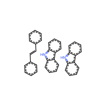 C(=Cc1ccccc1)c1ccccc1.c1ccc2c(c1)[nH]c1ccccc12.c1ccc2c(c1)[nH]c1ccccc12